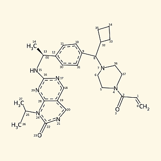 C=CC(=O)N1CCN(C(c2ccc([C@H](C)Nc3ncc4cnc(=O)n(C(C)C)c4n3)cc2)C2CCC2)CC1